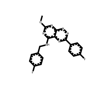 COc1nc(NCc2ccc(F)cc2)c2nc(-c3ccc(F)cc3)nnc2n1